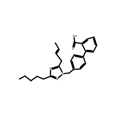 CC=CCc1nc(CCCCC)nn1Cc1ccc(-c2ccccc2C(=O)O)cc1